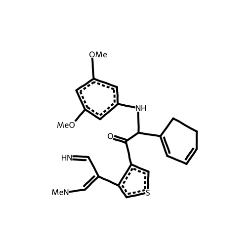 CN/C=C(\C=N)c1cscc1C(=O)C(Nc1cc(OC)cc(OC)c1)C1=CC=CCC1